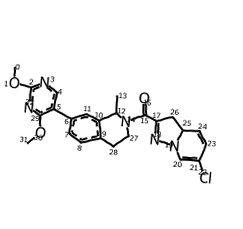 COc1ncc(-c2ccc3c(c2)C(C)N(C(=O)C2=NN4C=C(Cl)C=CC4C2)CC3)c(OC)n1